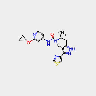 CC1Cc2[nH]nc(-c3cscn3)c2CN1C(=O)Nc1ccnc(OC2CC2)c1